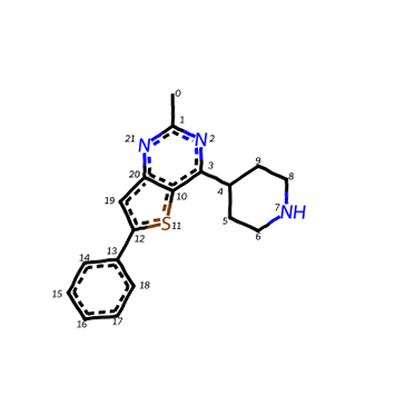 Cc1nc(C2CCNCC2)c2sc(-c3ccccc3)cc2n1